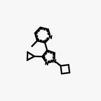 Cc1cccnc1-c1cn(C2CCC2)nc1C1CC1